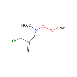 C=C(CCl)CN(OOSC)C(=O)O